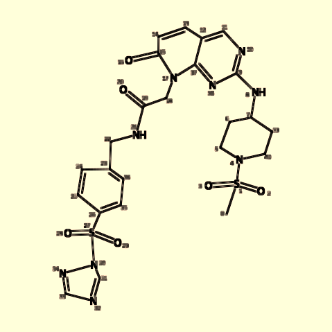 CS(=O)(=O)N1CCC(Nc2ncc3ccc(=O)n(CC(=O)NCc4ccc(S(=O)(=O)n5cncn5)cc4)c3n2)CC1